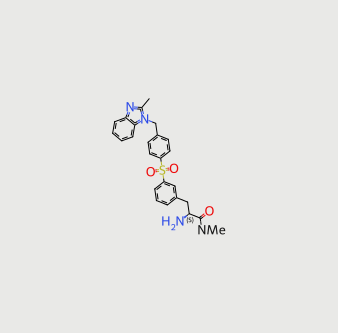 CNC(=O)[C@@H](N)Cc1cccc(S(=O)(=O)c2ccc(Cn3c(C)nc4ccccc43)cc2)c1